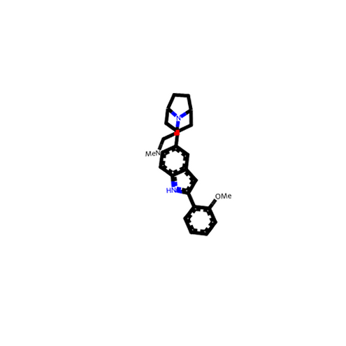 CNCCN1C2CCC1CC(c1ccc3[nH]c(-c4ccccc4OC)cc3c1)C2